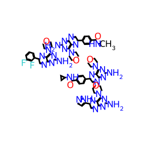 CNC(=O)c1ccc(-c2cnc3nc(N)nc(N4CCOCC4)c3n2)cc1.Nc1nc(N2CCOCC2)c2nc(-c3ccc(C(=O)NC4CC4)cc3)cnc2n1.Nc1nc(N2CCOCC2)c2nc(-c3cccc(F)c3F)cnc2n1.Nc1nc(N2CCOCC2)c2nc(-c3ccn[nH]3)cnc2n1